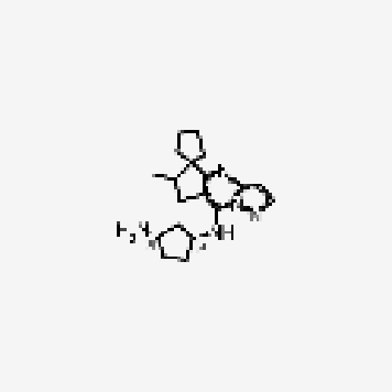 CC1Cc2c(nc3ccnn3c2N[C@H]2CC[C@H](N)C2)C12CCCC2